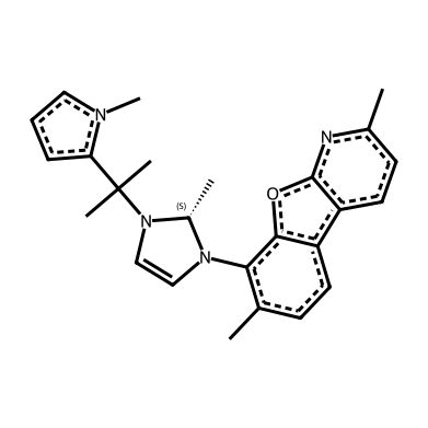 Cc1ccc2c(n1)oc1c(N3C=CN(C(C)(C)c4cccn4C)[C@@H]3C)c(C)ccc12